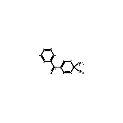 NC1([N+](=O)[O-])C=CC(C(=O)c2ccccc2)=CC1